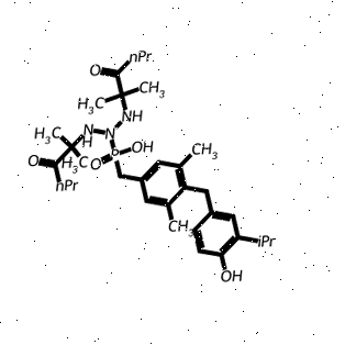 CCCC(=O)C(C)(C)NN(NC(C)(C)C(=O)CCC)P(=O)(O)Cc1cc(C)c(Cc2ccc(O)c(C(C)C)c2)c(C)c1